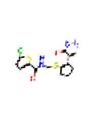 C=C(C(N)=O)C1=C(SCNC(=O)c2ccc(Cl)s2)CCC1